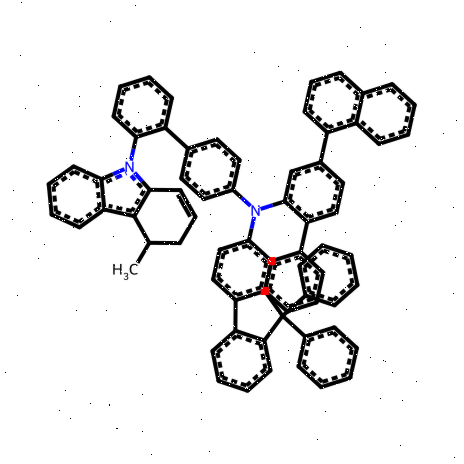 CC1CC=Cc2c1c1ccccc1n2-c1ccccc1-c1ccc(N(c2ccc3c(c2)C(c2ccccc2)(c2ccccc2)c2ccccc2-3)c2cc(-c3cccc4ccccc34)ccc2-c2ccccc2)cc1